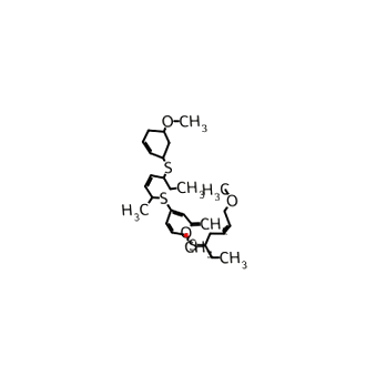 C=C(/C=C(\C=C/CSC(CC)C/C=C\COC)SC(C)/C=C\C(CC)SC1C=CCC(OC)C1)OC